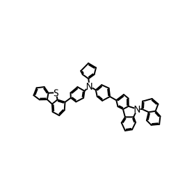 c1ccc(N(c2ccc(-c3ccc4c(c3)c3ccccc3n4-c3cccc4ccccc34)cc2)c2ccc(-c3cccc4c3sc3ccccc34)cc2)cc1